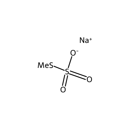 CSS(=O)(=O)[O-].[Na+]